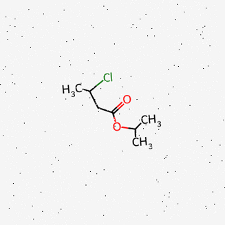 CC(Cl)CC(=O)OC(C)C